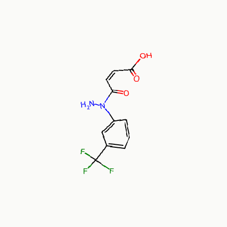 NN(C(=O)/C=C\C(=O)O)c1cccc(C(F)(F)F)c1